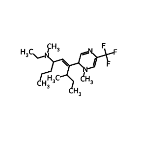 CCCC(/C=C(\C(C)CC)C1C=NC(C(F)(F)F)=CN1C)N(C)CC